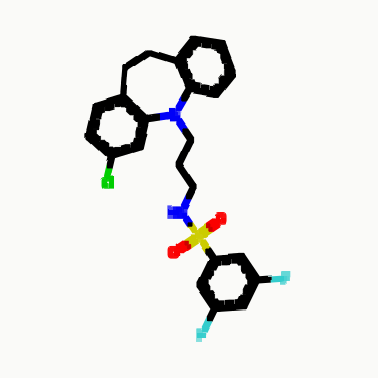 O=S(=O)(NCCCN1c2ccccc2CCc2ccc(Cl)cc21)c1cc(F)cc(F)c1